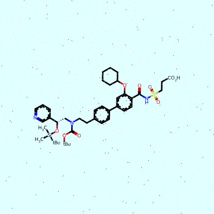 CC(C)(C)OC(=O)N(CCc1ccc(-c2ccc(C(=O)NS(=O)(=O)CCC(=O)O)c(OC3CCCCC3)c2)cc1)C[C@H](O[Si](C)(C)C(C)(C)C)c1cccnc1